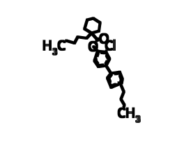 CCCCCC1(C(=O)Oc2ccc(-c3ccc(CCCC)cc3)cc2Cl)CCCCC1